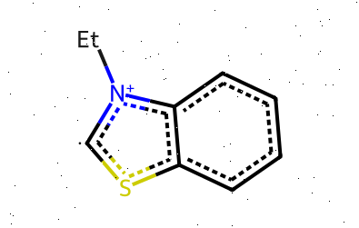 CC[n+]1[c]sc2ccccc21